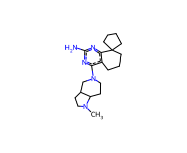 CN1CCC2CN(c3nc(N)nc4c3CCCC43CCCC3)CCC21